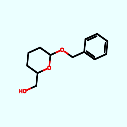 OCC1CCCC(OCc2ccccc2)O1